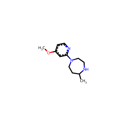 COc1ccnc(N2CCNC(C)CC2)c1